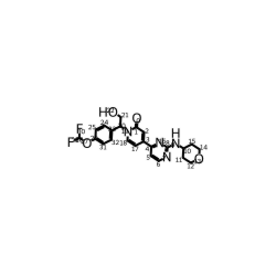 O=c1cc(-c2ccnc(NC3CCOCC3)n2)ccn1C(CO)c1ccc(OC(F)F)cc1